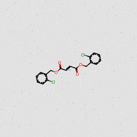 O=C(/C=C/C(=O)OCc1ccccc1Cl)OCc1ccccc1Cl